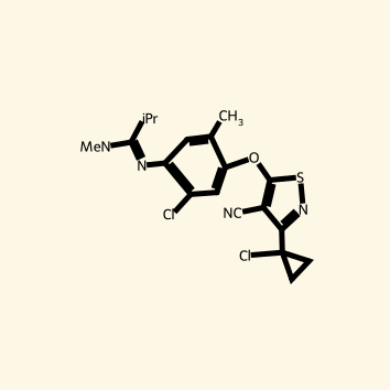 CNC(=Nc1cc(C)c(Oc2snc(C3(Cl)CC3)c2C#N)cc1Cl)C(C)C